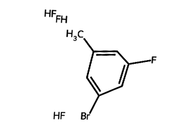 Cc1cc(F)cc(Br)c1.F.F.F